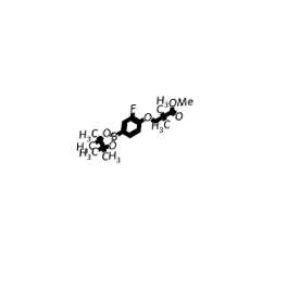 COC(=O)C(C)(C)COc1ccc(B2OC(C)(C)C(C)(C)O2)cc1F